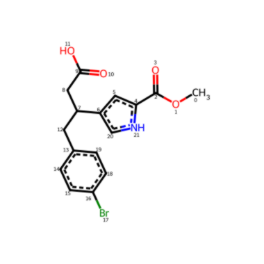 COC(=O)c1cc(C(CC(=O)O)Cc2ccc(Br)cc2)c[nH]1